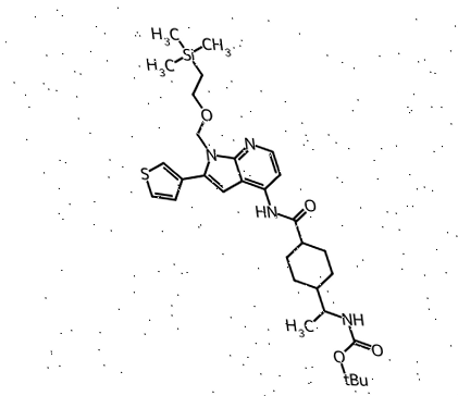 CC(NC(=O)OC(C)(C)C)C1CCC(C(=O)Nc2ccnc3c2cc(-c2ccsc2)n3COCC[Si](C)(C)C)CC1